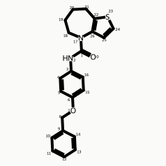 O=C(Nc1ccc(OCc2ccccc2)cc1)N1CCCCc2sccc21